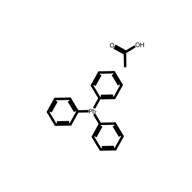 CC(=O)O.c1cc[c]([Pb]([c]2ccccc2)[c]2ccccc2)cc1